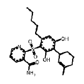 CCCCCc1cc(O)c(C2C=C(C)CCC2)c(O)c1S(=O)(=O)c1ncccc1C(N)=O